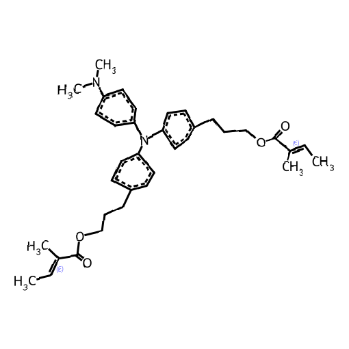 C/C=C(\C)C(=O)OCCCc1ccc(N(c2ccc(CCCOC(=O)/C(C)=C/C)cc2)c2ccc(N(C)C)cc2)cc1